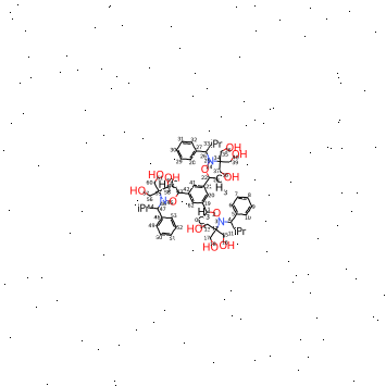 CC(ON(C(c1ccccc1)C(C)C)C(CO)(CO)CO)c1cc(C(C)ON(C(c2ccccc2)C(C)C)C(CO)(CO)CO)cc(C(C)ON(C(c2ccccc2)C(C)C)C(CO)(CO)CO)c1